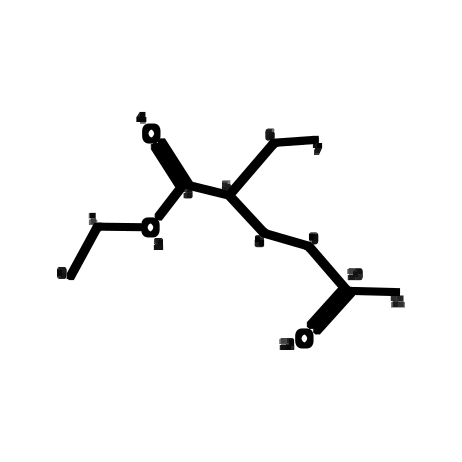 CCOC(=O)C(CC)CCC(C)=O